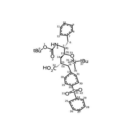 CC(C)(C)OC(=O)N[C@H](Cc1ccccc1)[C@H](C[C@H](Cc1ccc(S(=O)(=O)c2ccccc2)cc1)C(=O)O)O[Si](C)(C)C(C)(C)C